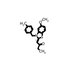 CCC(=O)/C=C1\Sc2ccc(OC)cc2N1Cc1ccc(C)cc1